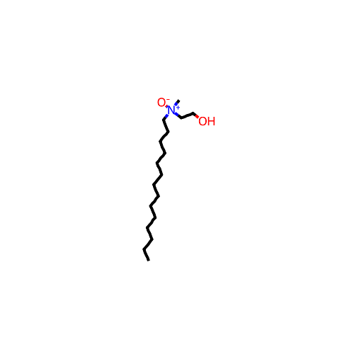 CCCCCCCCCCCCCC[N+](C)([O-])CCO